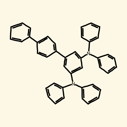 c1ccc(-c2ccc(-c3cc(N(c4ccccc4)c4ccccc4)cc(N(c4ccccc4)c4ccccc4)c3)cc2)cc1